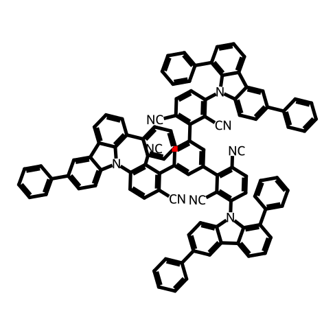 [C-]#[N+]c1ccc(-n2c3ccc(-c4ccccc4)cc3c3cccc(-c4ccccc4)c32)c(C#N)c1-c1cc(-c2c(C#N)ccc(-n3c4ccc(-c5ccccc5)cc4c4cccc(-c5ccccc5)c43)c2C#N)cc(-c2c(C#N)ccc(-n3c4ccc(-c5ccccc5)cc4c4cccc(-c5ccccc5)c43)c2[N+]#[C-])c1